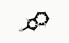 Sc1cn2ncccc2n1